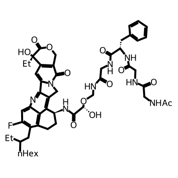 CCCCCCC(CC)Cc1c(F)cc2nc3c(c4c2c1CC[C@@H]4NC(=O)[C@@H](O)OCNC(=O)CNC(=O)[C@H](Cc1ccccc1)NC(=O)CNC(=O)CNC(C)=O)Cn1c-3cc2c(c1=O)COC(=O)[C@]2(O)CC